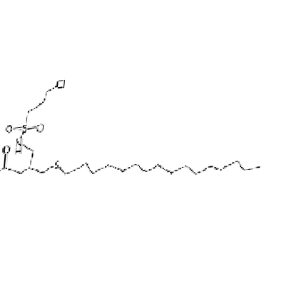 CCCCCCCCCCCCCCCCSCC(CNS(=O)(=O)CCCCl)CC(C)=O